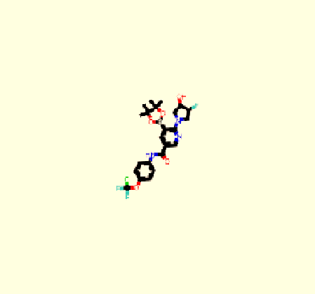 CC1(C)OB(c2cc(C(=O)Nc3ccc(OC(F)(F)Cl)cc3)cnc2N2CC(O)C(F)C2)OC1(C)C